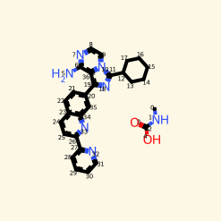 CNC(=O)O.Nc1nccn2c(C3CCCCC3)nc(-c3ccc4ccc(-c5ccccn5)nc4c3)c12